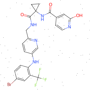 O=C(NC1(C(=O)NCc2ccc(Nc3ccc(Br)cc3C(F)(F)F)cn2)CC1)c1ccnc(O)c1